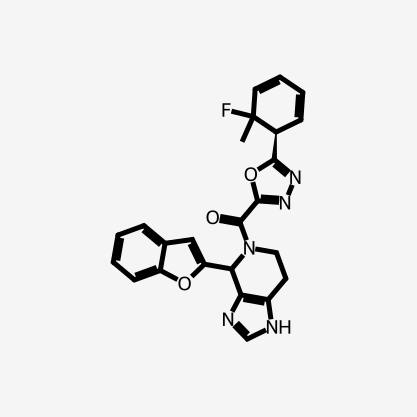 CC1(F)C=CC=C[C@H]1c1nnc(C(=O)N2CCc3[nH]cnc3C2c2cc3ccccc3o2)o1